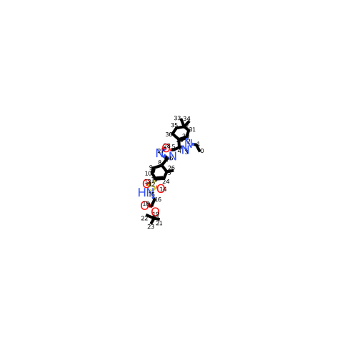 CCn1nc(-c2nc(C3C=CC(S(=O)(=O)NCC(=O)OC(C)(C)C)=CC3C)no2)c2c1CC(C)(C)CC2